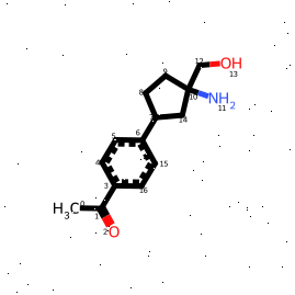 CC(=O)c1ccc(C2CCC(N)(CO)C2)cc1